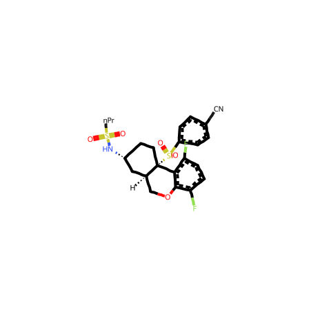 CCCS(=O)(=O)N[C@@H]1CC[C@@]2(S(=O)(=O)c3ccc(C#N)cc3)c3c(F)ccc(F)c3OC[C@H]2C1